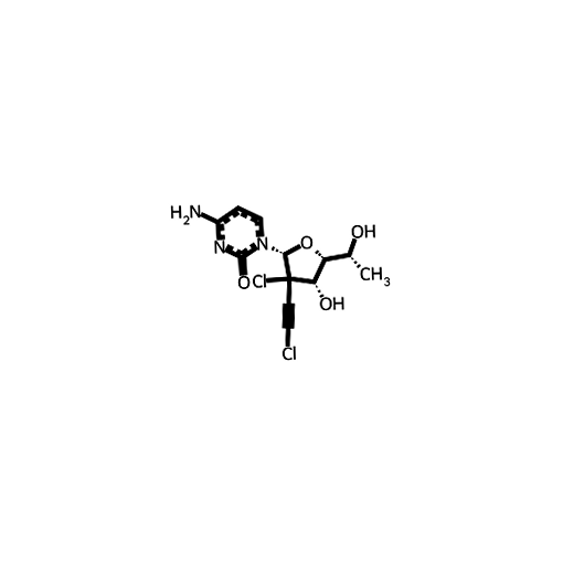 C[C@@H](O)[C@H]1O[C@@H](n2ccc(N)nc2=O)C(Cl)(C#CCl)[C@H]1O